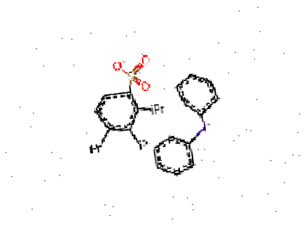 CC(C)c1ccc(S(=O)(=O)[O-])c(C(C)C)c1C(C)C.c1ccc([I+]c2ccccc2)cc1